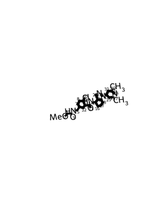 COCC(=O)NCc1ccc(Cl)c(C(=O)Nc2cccc3c2cnn3-c2cc(C)nc(C)c2)c1